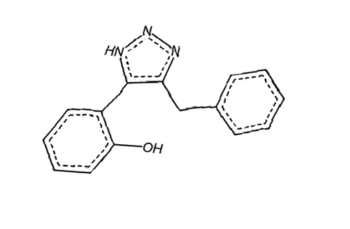 Oc1ccccc1-c1[nH]nnc1Cc1ccccc1